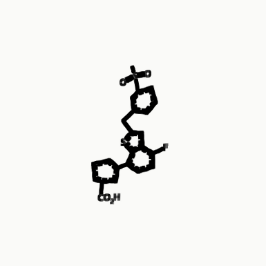 CS(=O)(=O)c1cccc(Cc2cc3c(F)ccc(-c4cccc(C(=O)O)c4)c3s2)c1